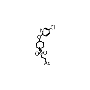 CC(=O)CCS(=O)(=O)N1CCC(Oc2ccc(Cl)cn2)CC1